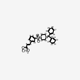 COC(=O)C=Cc1cccc(S(=O)(=O)N2CCN(C(c3ccccc3)c3ccccc3)CC2)c1